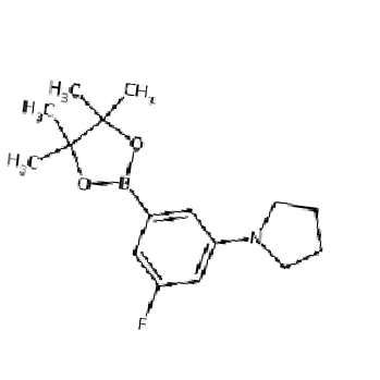 CC1(C)OB(c2cc(F)cc(N3CCCC3)c2)OC1(C)C